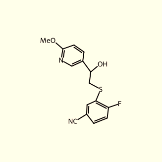 COc1ccc(C(O)CSc2cc(C#N)ccc2F)cn1